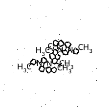 Cc1cccc(-n2c3ccccc3c3c(N(c4cccc5c4CCCC5)c4cc(C(C)C)c5ccc6c(N(c7cccc8c7CCCC8)c7cccc8c7c7ccccc7n8-c7cccc(C)c7)cc(C(C)C)c7ccc4c5c76)cccc32)c1